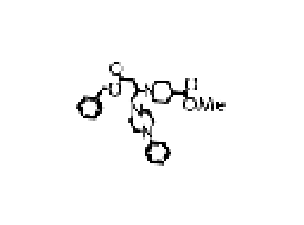 COC(=O)C1CCN(C(CC(=O)OCc2ccccc2)CN2CCN(c3ccccc3)CC2)CC1